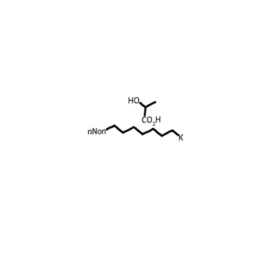 CC(O)C(=O)O.CCCCCCCCCCCCCCC[CH2][K]